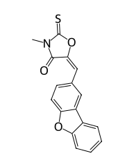 CN1C(=O)/C(=C\c2ccc3oc4ccccc4c3c2)OC1=S